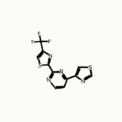 FC(F)(F)c1csc(-c2n[c]cc(-c3cscn3)n2)n1